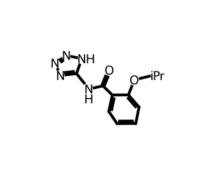 CC(C)Oc1ccccc1C(=O)Nc1nnn[nH]1